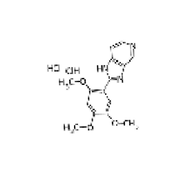 COc1cc(OC)c(-c2nc3cnccc3[nH]2)cc1OC.Cl.Cl